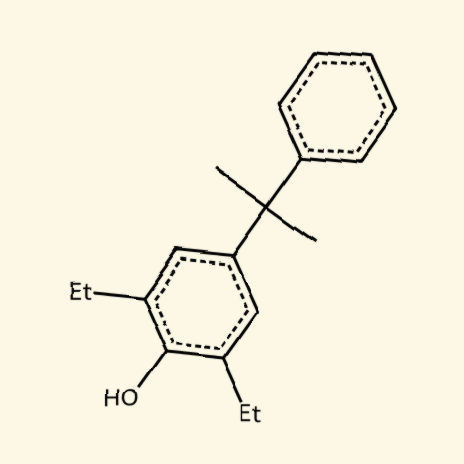 CCc1cc(C(C)(C)c2ccccc2)cc(CC)c1O